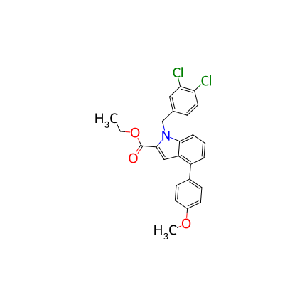 CCOC(=O)c1cc2c(-c3ccc(OC)cc3)cccc2n1Cc1ccc(Cl)c(Cl)c1